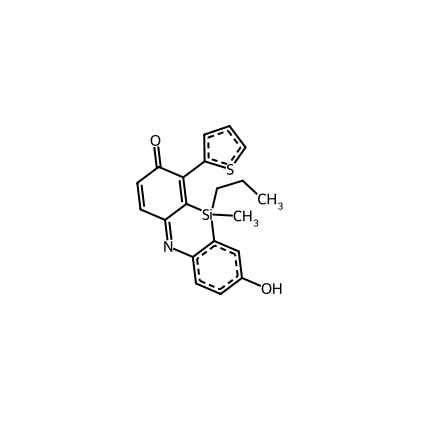 CCC[Si]1(C)C2=C(c3cccs3)C(=O)C=CC2=Nc2ccc(O)cc21